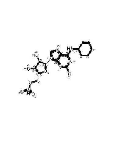 O=[SH](=O)OC[C@H]1O[C@@H](n2cnc3c(NC4CCCCC4)nc(Cl)nc32)[C@H](O)[C@@H]1O